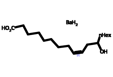 CCCCCCC(O)C/C=C\CCCCCCCC(=O)O.[BaH2]